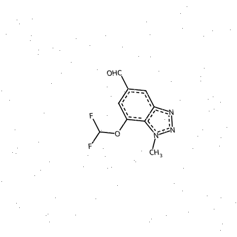 Cn1nnc2cc(C=O)cc(OC(F)F)c21